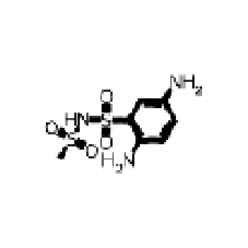 CS(=O)(=O)NS(=O)(=O)c1cc(N)ccc1N